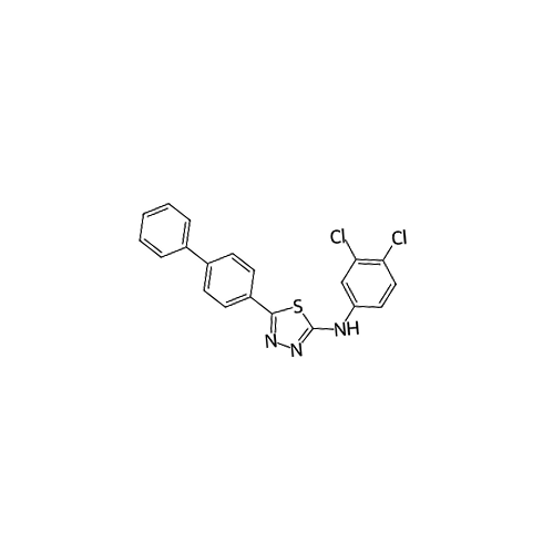 Clc1ccc(Nc2nnc(-c3ccc(-c4ccccc4)cc3)s2)cc1Cl